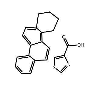 O=C(O)c1cscn1.c1ccc2c(c1)ccc1c3c(ccc12)CCCC3